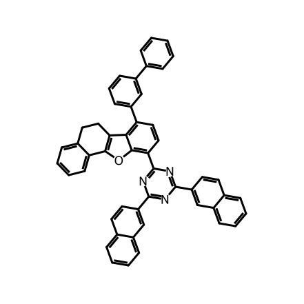 c1ccc(-c2cccc(-c3ccc(-c4nc(-c5ccc6ccccc6c5)nc(-c5ccc6ccccc6c5)n4)c4oc5c(c34)CCc3ccccc3-5)c2)cc1